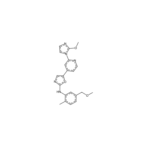 COCc1ccc(C)c(Nc2ncc(-c3ccnc(-n4ccnc4OC)c3)o2)c1